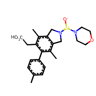 Cc1ccc(-c2c(C)c3c(c(C)c2CC(=O)O)CN([S+]([O-])N2CCOCC2)C3)cc1